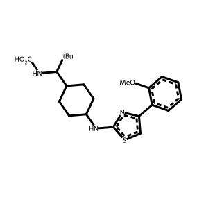 COc1ccccc1-c1csc(NC2CCC(C(NC(=O)O)C(C)(C)C)CC2)n1